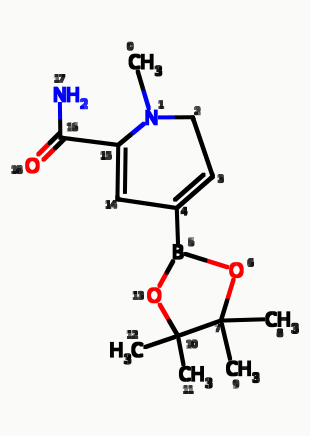 CN1CC=C(B2OC(C)(C)C(C)(C)O2)C=C1C(N)=O